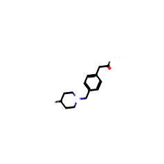 COC(=O)Cc1ccc(CN2CCC(OC)CC2)cc1